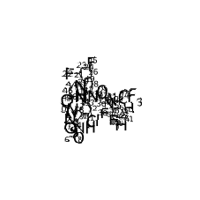 Cn1nc(NS(C)(=O)=O)c2c(Cl)ccc(-n3c([C@@H](Cc4cc(F)cc(F)c4)NC(=O)Cn4nc(C(F)(F)F)c5c4C(F)(F)[C@@H]4C[C@H]54)nccc3=O)c21